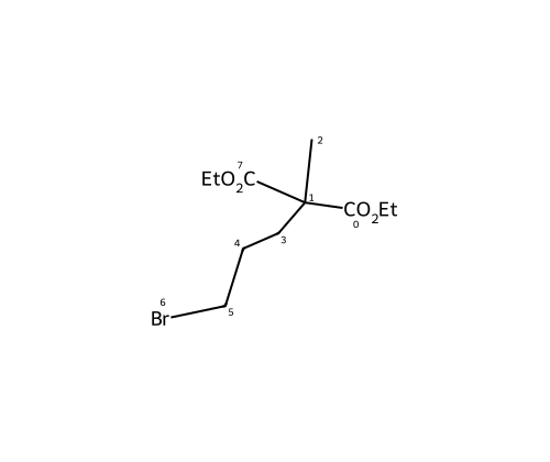 CCOC(=O)C(C)(CCCBr)C(=O)OCC